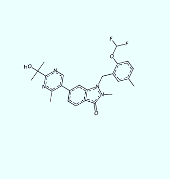 Cc1ccc(OC(F)F)c(Cn2c3cc(-c4cnc(C(C)(C)O)nc4C)ccc3c(=O)n2C)c1